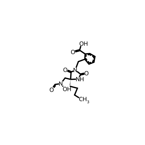 CCCC[C@@]1(CN(O)C=O)NC(=O)N(Cc2ccccc2C(=O)O)C1=O